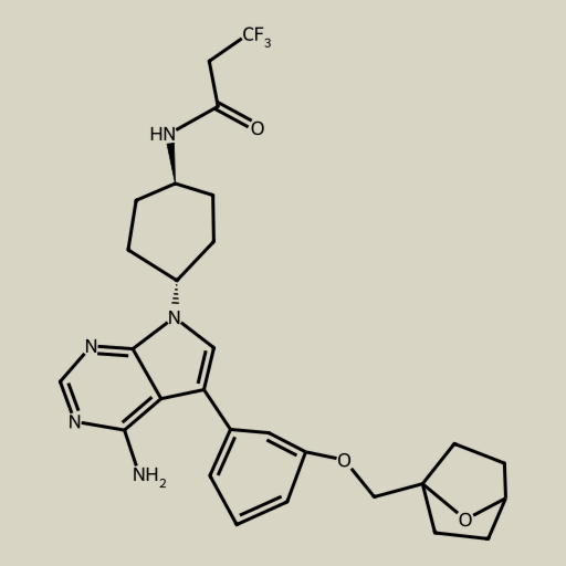 Nc1ncnc2c1c(-c1cccc(OCC34CCC(CC3)O4)c1)cn2[C@H]1CC[C@H](NC(=O)CC(F)(F)F)CC1